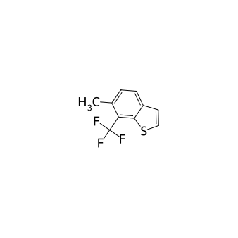 Cc1ccc2ccsc2c1C(F)(F)F